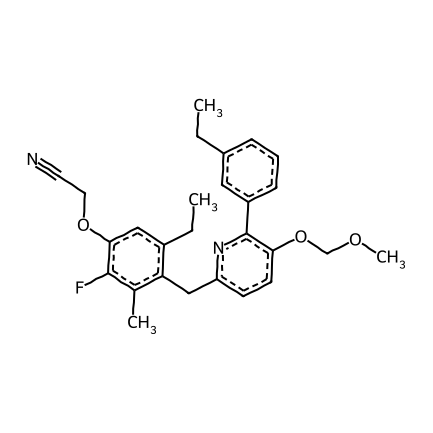 CCc1cccc(-c2nc(Cc3c(CC)cc(OCC#N)c(F)c3C)ccc2OCOC)c1